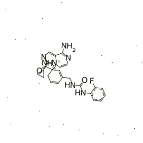 NC(=O)C1([N+]23C=CN=C(N)C2=CN=C3C2CC2)C=C(CNC(=O)Nc2ccccc2F)C=CC1